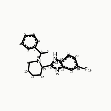 CC(c1ccccc1)N1CCCCC1c1nc2cc(F)ccc2[nH]1